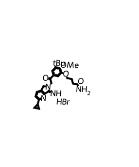 Br.COc1c(OCCCC(N)=O)cc(C(=O)CN2Cc3ccc(C4CC4)nc3C2=N)cc1C(C)(C)C